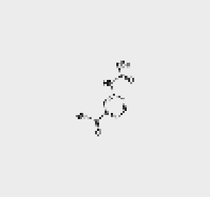 CCCCC(=O)Nc1cccc(C(=O)CCC)c1